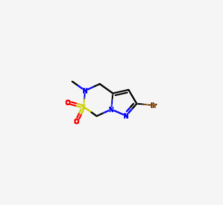 CN1Cc2cc(Br)nn2CS1(=O)=O